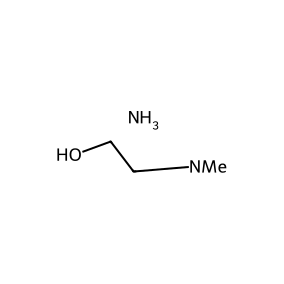 CNCCO.N